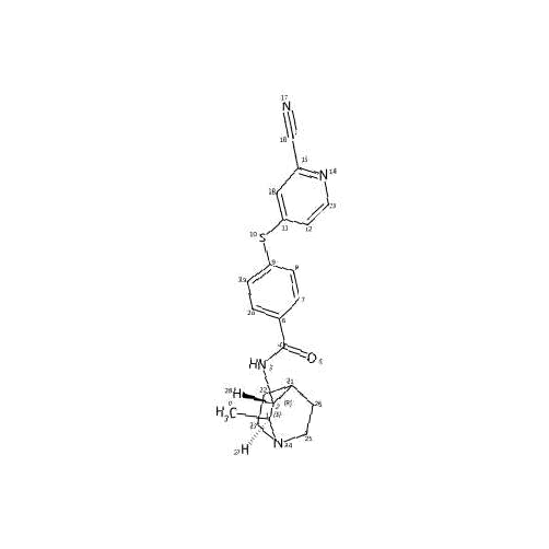 C[C@H]1[C@H](NC(=O)c2ccc(Sc3ccnc(C#N)c3)cc2)C2CCN1CC2